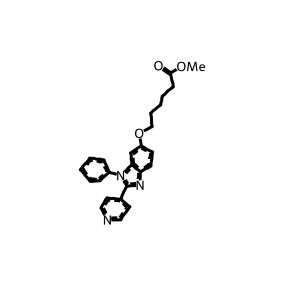 COC(=O)CCCCCOc1ccc2nc(-c3ccncc3)n(-c3ccccc3)c2c1